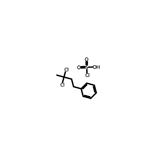 CC(Cl)(Cl)CCc1ccccc1.O=S(=O)(O)Cl